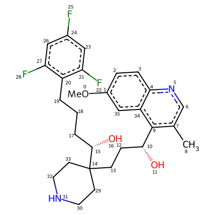 COc1ccc2ncc(C)c([C@H](O)CCC3([C@@H](O)CCCc4c(F)cc(F)cc4F)CCNCC3)c2c1